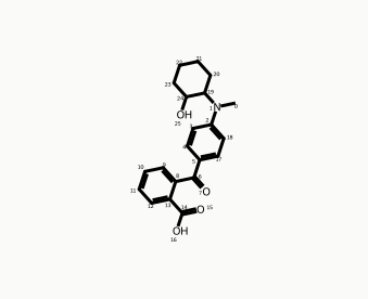 CN(c1ccc(C(=O)c2ccccc2C(=O)O)cc1)C1CCCCC1O